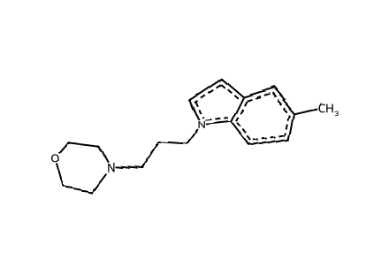 Cc1ccc2c(ccn2CCCN2CCOCC2)c1